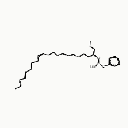 CCCCCCCC/C=C\CCCCCCCCCC(CCC)OP(O)Oc1ccccc1